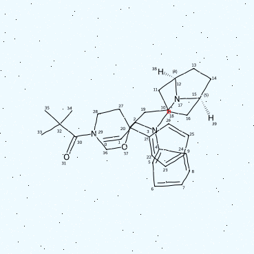 C=CCN(c1ccccc1)C1C[C@H]2CC[C@@H](C1)N2CCC1(c2ccccc2)CCN(C(=O)C(C)(C)C)CO1